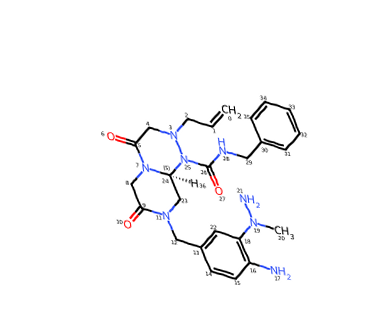 C=CCN1CC(=O)N2CC(=O)N(Cc3ccc(N)c(N(C)N)c3)C[C@@H]2N1C(=O)NCc1ccccc1